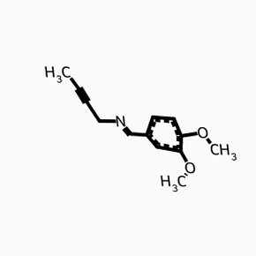 CC#CCN=Cc1ccc(OC)c(OC)c1